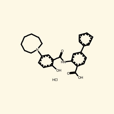 Cl.O=C(Nc1cc(-c2ccccc2)ccc1C(=O)O)c1cc(N2CCCCCCC2)ccc1O